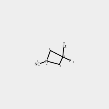 CCC1(F)CN(C#N)C1